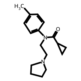 Cc1ccc(N(CCN2CCCC2)C(=O)C2CC2)cc1